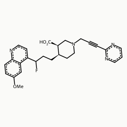 COc1ccc2nccc(C(F)CC[C@@H]3CCN(CC#Cc4ncccn4)C[C@@H]3C(=O)O)c2c1